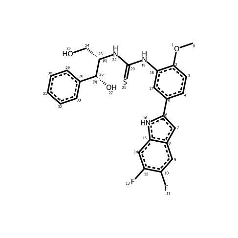 COc1ccc(-c2cc3cc(F)c(F)cc3[nH]2)cc1NC(=S)N[C@@H](CO)[C@H](O)c1ccccc1